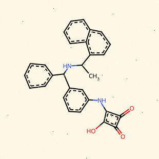 CC(NC(c1ccccc1)c1cccc(Nc2c(O)c(=O)c2=O)c1)c1cccc2ccccc12